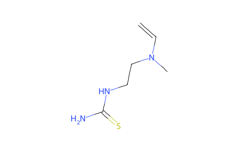 C=CN(C)CCNC(N)=S